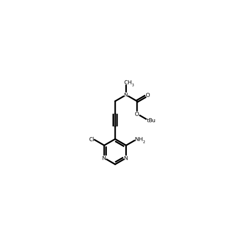 CN(CC#Cc1c(N)ncnc1Cl)C(=O)OC(C)(C)C